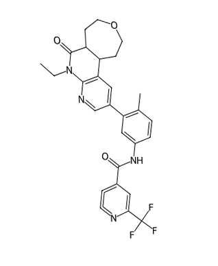 CCN1C(=O)C2CCOCCC2c2cc(-c3cc(NC(=O)C4=C=C=NC(C(F)(F)F)=C4)ccc3C)cnc21